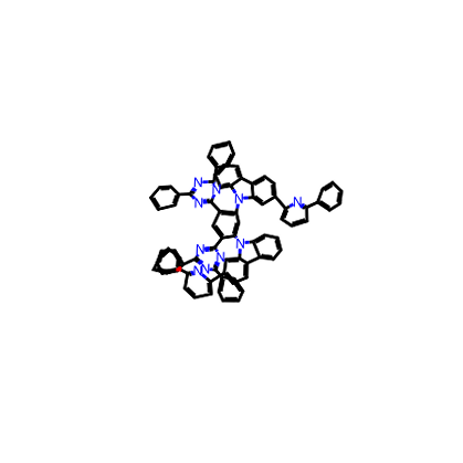 c1ccc(-c2cccc(-c3ccc4c5ccccc5n(-c5cc(-n6c7ccccc7c7ccc(-c8cccc(-c9ccccc9)n8)cc76)c(-c6nc(-c7ccccc7)nc(-c7ccccc7)n6)cc5-c5nc(-c6ccccc6)nc(-c6ccccc6)n5)c4c3)n2)cc1